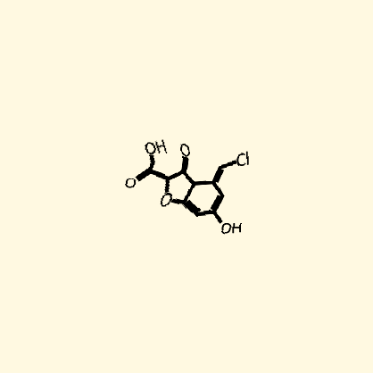 O=C(O)C1OC2=CC(O)=CC(=CCl)C2C1=O